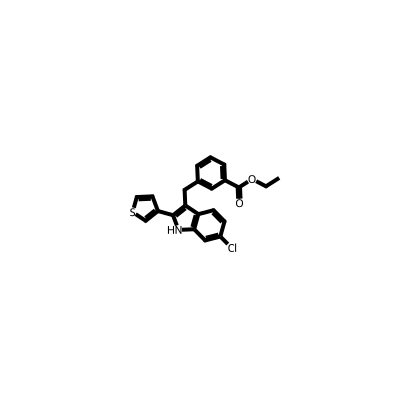 CCOC(=O)c1cccc(Cc2c(-c3ccsc3)[nH]c3cc(Cl)ccc23)c1